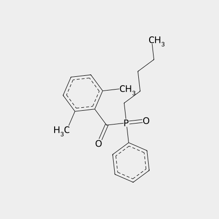 CCCCCP(=O)(C(=O)c1c(C)cccc1C)c1ccccc1